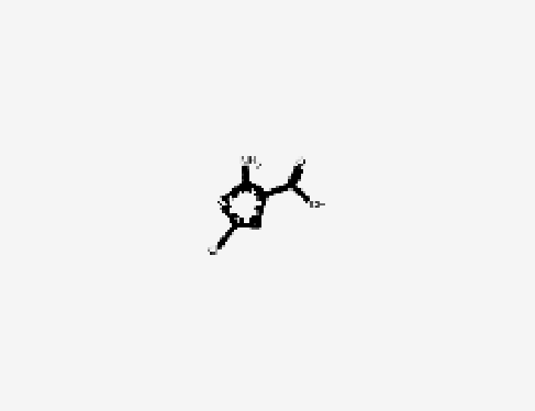 Nc1sc(Cl)cc1C(=O)O